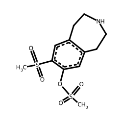 CS(=O)(=O)Oc1cc2c(cc1S(C)(=O)=O)CCNCC2